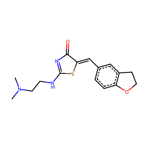 CN(C)CCNC1=NC(=O)/C(=C/c2ccc3c(c2)CCO3)S1